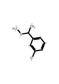 COC(C)c1cccc(Cl)c1